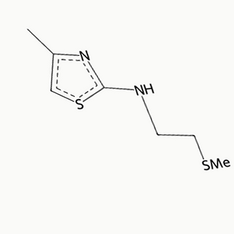 CSCCNc1nc(C)cs1